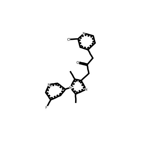 Cc1nc(CC(=O)Cc2ccnc(Cl)c2)c(C)n1-c1cncc(F)c1